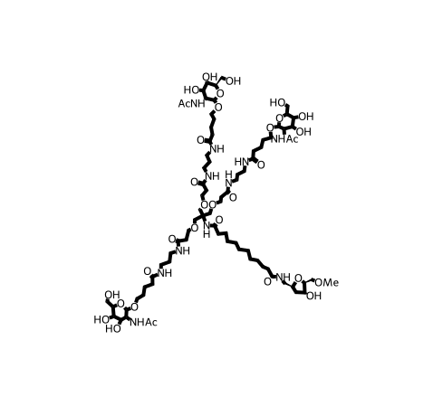 COC[C@@H]1O[C@H](CNC(=O)CCCCCCCCCCC(=O)NC(COCCC(=O)NCCCNC(=O)CCCCOC2OC(CO)C(O)C(O)C2NC(C)=O)(COCCC(=O)NCCCNC(=O)CCCCOC2OC(CO)C(O)C(O)C2NC(C)=O)COCCC(=O)NCCCNC(=O)CCCCOC2O[C@H](CO)C(O)C(O)C2NC(C)=O)C[C@H]1O